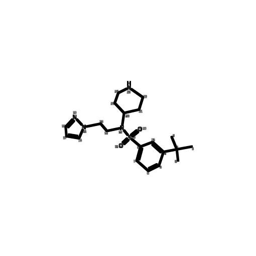 CC(C)(C)c1cccc(S(=O)(=O)N(CCn2cccn2)C2CCNCC2)c1